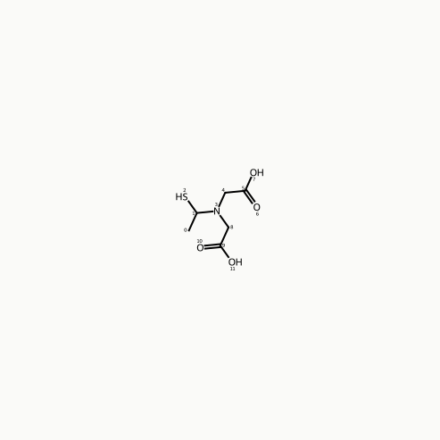 CC(S)N(CC(=O)O)CC(=O)O